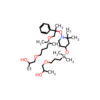 CCC(O)COCCC[Si](C)(C)OCC(C)(ON1CCC(O[Si](C)(C)CCCOCC(C)O)CC1(C)C)c1ccccc1